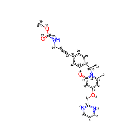 Cc1cc(OCc2ncccn2)cc(=O)n1[C@H](C)c1ccc(C#CCNC(=O)OC(C)C)cc1